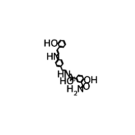 NC(=O)c1cc([C@@H](O)CNCCc2ccc(NC=Cc3ccccc3O)cc2)ccc1O